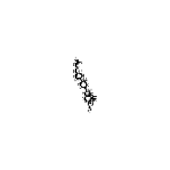 CCOc1ccc(CCc2ccc(-c3ccc(CC/C=C(/C)F)cc3)cc2)c(F)c1F